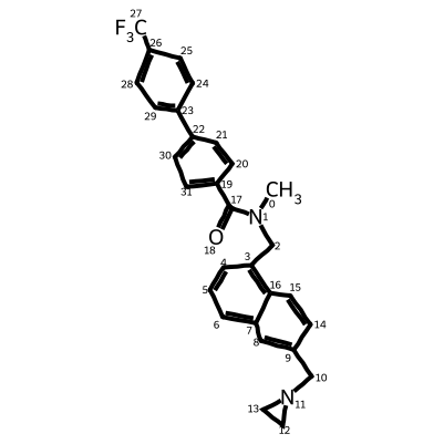 CN(Cc1cccc2cc(CN3CC3)ccc12)C(=O)c1ccc(-c2ccc(C(F)(F)F)cc2)cc1